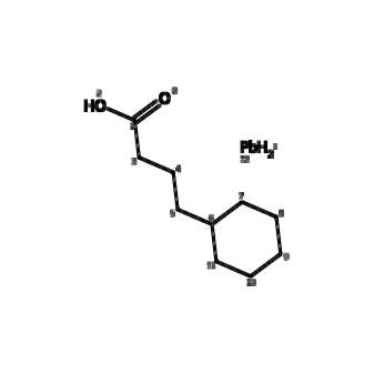 O=C(O)CCCC1CCCCC1.[PbH2]